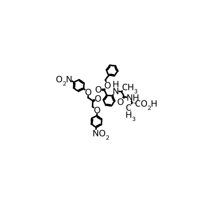 CC(Nc1ccccc1C(=O)OCc1ccccc1)C(=O)N[C@@H](C)C(=O)O.O=C(COc1ccc([N+](=O)[O-])cc1)COc1ccc([N+](=O)[O-])cc1